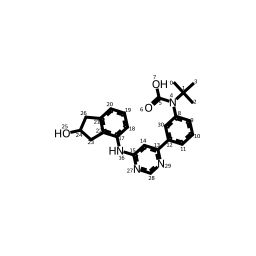 CC(C)(C)N(C(=O)O)c1cccc(-c2cc(Nc3cccc4c3CC(O)C4)ncn2)c1